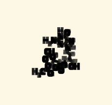 CC(=O)OCCP(=O)(OCOC(C)=O)OC[C@@H](CO)CCn1cnc2c(=O)[nH]c(N)nc21